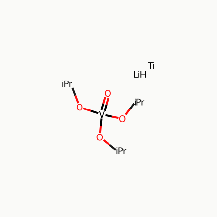 CC(C)[O][V](=[O])([O]C(C)C)[O]C(C)C.[LiH].[Ti]